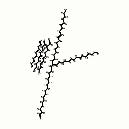 C=CCCCCCCCC.C=CCCCCCCCCC.C=CCCCCCCCCCC.C=CCCCCCCCCCCCCCCCCC(=CCCCCCCCCCCCCCC)CCCCCCCCC=CCCCCCCCC